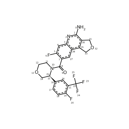 Nc1nc2cc(F)c(C(=O)N3CCOC[C@@H]3c3ccc(F)c(C(F)(F)F)c3)cc2c2c1COC2